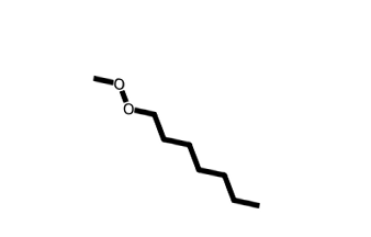 CCCCCCCOOC